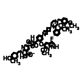 COc1ccc(CN2CCN(C3CC4(C3)CN(c3ccc(C(=O)NS(=O)(=O)c5cnc(NCC6CCC(C)(O)CC6)c([N+](=O)[O-])c5)c(Oc5cc6c(F)c[nH]c6nc5OC)c3)C4)[C@H](c3ccccc3C(C)C)C2)cc1